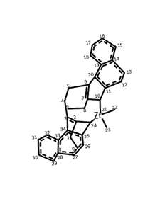 CCC1=C2CCC3=C(CC)[CH](c4ccc5ccccc5c43)[Zr]([CH3])([CH3])[CH]1c1ccc3ccccc3c12